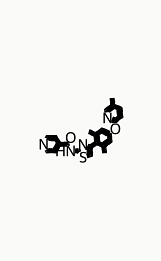 Cc1ccc(Oc2cc(C)c(-c3csc(NC(=O)c4ccncc4)n3)c(C)c2)nc1